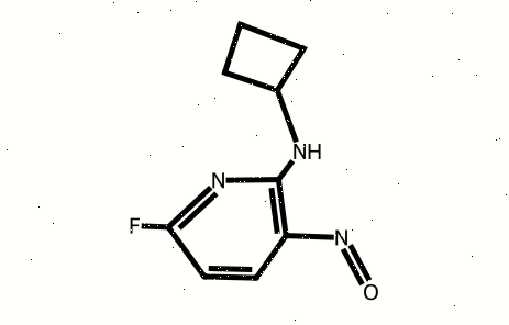 O=Nc1ccc(F)nc1NC1CCC1